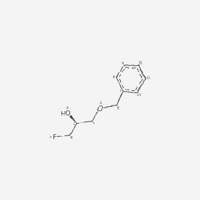 O[C@H](CF)COCc1ccccc1